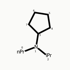 CCCN(C(C)C)C1CCCC1